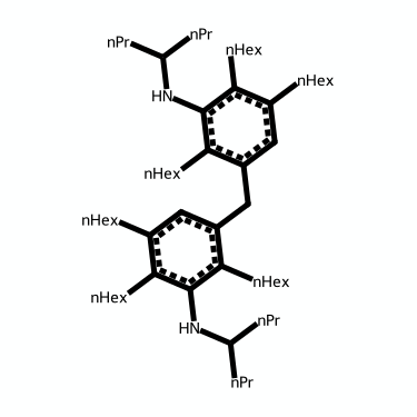 CCCCCCc1cc(Cc2cc(CCCCCC)c(CCCCCC)c(NC(CCC)CCC)c2CCCCCC)c(CCCCCC)c(NC(CCC)CCC)c1CCCCCC